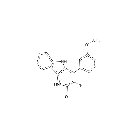 COc1cccc(-c2c(F)c(=O)[nH]c3c2[nH]c2ccccc23)c1